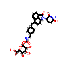 O=C1CC[C@@H](N2C(=O)c3cccc4c(Cc5ccc(CNC(=O)OC6OC(C(=O)O)C(O)C(O)C6O)cc5)ccc2c34)C(=O)N1